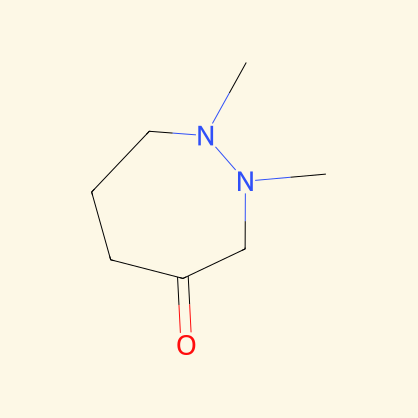 CN1CCCC(=O)CN1C